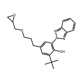 CC(C)(C)c1cc(CCCOCC2CO2)cc(-n2nc3ccccc3n2)c1O